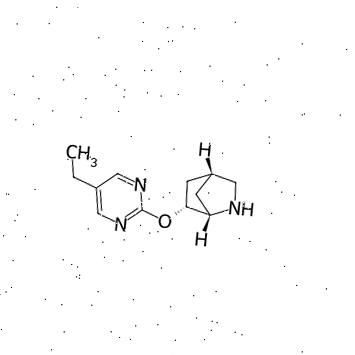 CCc1cnc(O[C@@H]2C[C@@H]3CN[C@H]2C3)nc1